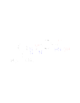 CC(C)c1ccccc1Nc1nc2cc(C(=O)NO)ccc2o1